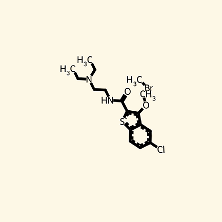 CBr.CCN(CC)CCNC(=O)c1sc2ccc(Cl)cc2c1OC